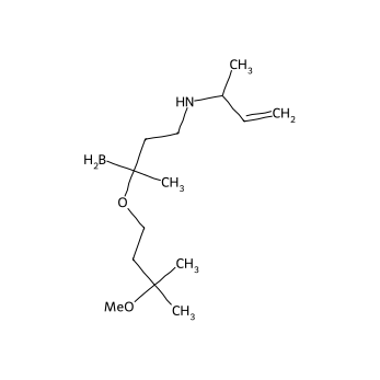 BC(C)(CCNC(C)C=C)OCCC(C)(C)OC